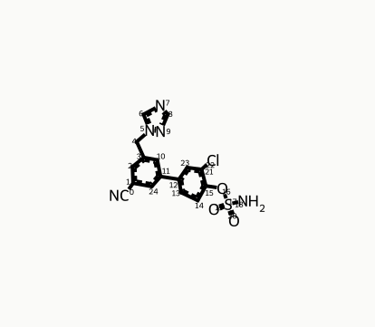 N#Cc1cc(Cn2cncn2)cc(-c2ccc(OS(N)(=O)=O)c(Cl)c2)c1